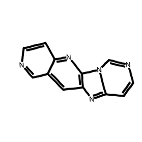 c1cc2nc3c(cc2cn1)nc1ccncn13